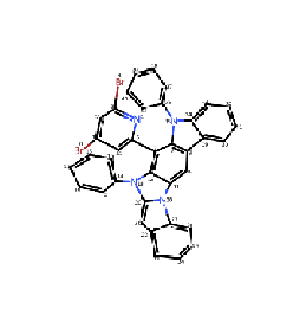 Brc1cc(Br)nc(-c2c3c(cc4c2n(-c2ccccc2)c2cc5ccccc5n42)c2ccccc2n3-c2ccccc2)c1